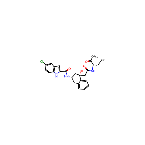 COC(=O)[C@H](CC(C)C)NC(=O)C[C@]1(O)C[C@@H](NC(=O)c2cc3cc(Cl)ccc3[nH]2)Cc2ccccc21